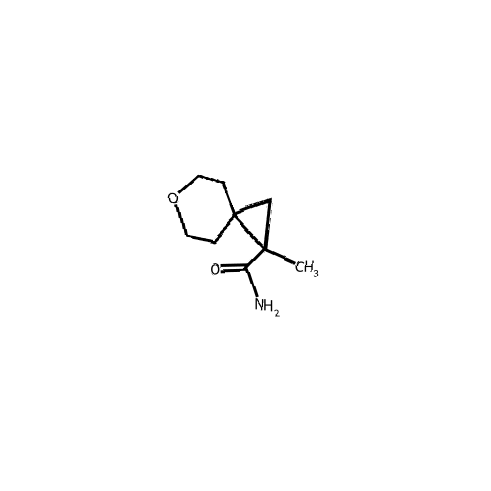 CC1(C(N)=O)CC12CCOCC2